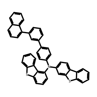 c1cc(-c2ccc(N(c3ccc4c(c3)sc3ccccc34)c3cccc4sc5ccccc5c34)cc2)cc(-c2cccc3ccccc23)c1